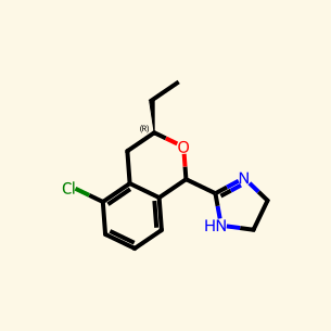 CC[C@@H]1Cc2c(Cl)cccc2C(C2=NCCN2)O1